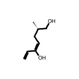 C=C/C(O)=C\C[C@H](C)CO